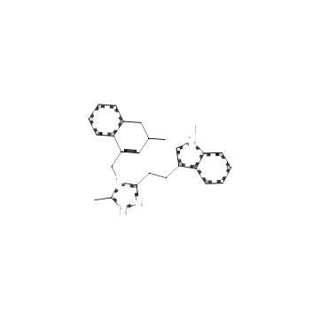 Cc1nnc(CCc2c[nH]c3ccccc23)n1CC1=CC(C)Cc2ccccc21